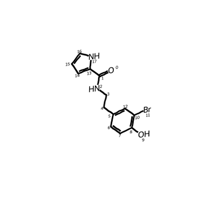 O=C(NCCc1ccc(O)c(Br)c1)c1ccc[nH]1